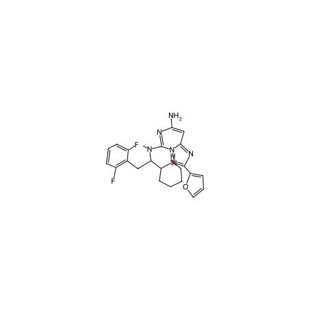 CN(c1nc(N)cc2nc(-c3ccco3)nn12)C(Cc1c(F)cccc1F)C1CCCCN1